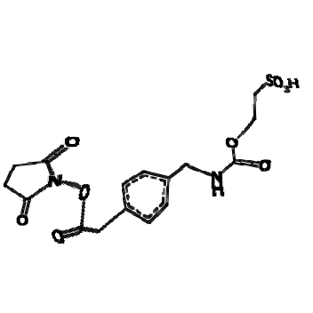 O=C(Cc1ccc(CNC(=O)OCCS(=O)(=O)O)cc1)ON1C(=O)CCC1=O